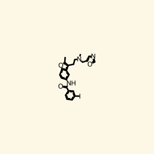 Cc1oc2ccc(NC(=O)c3cccc(I)c3)cc2c1CCN(C)Cc1cnco1